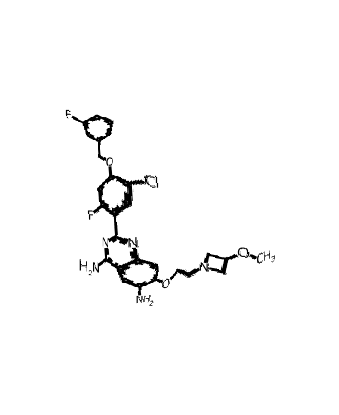 COC1CN(CCOc2cc3nc(-c4cc(Cl)c(OCc5cccc(F)c5)cc4F)nc(N)c3cc2N)C1